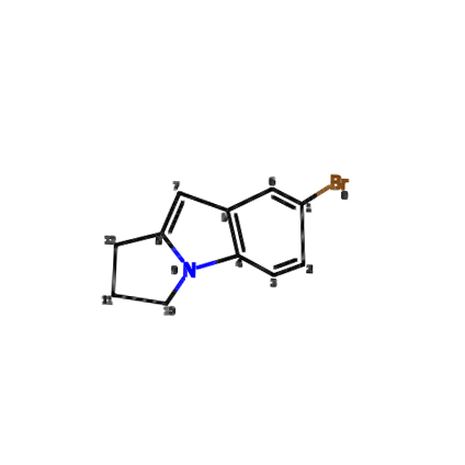 Brc1ccc2c(c1)cc1n2CCC1